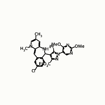 CCOC(=O)c1nn(-c2cnc(OC)nc2OC)c(C(C)C)c1C1NC2=CC(C)=CN(C)C2=Cc2cc(Cl)ccc21